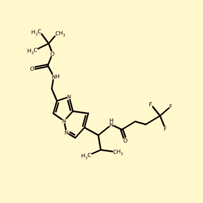 CC(C)C(NC(=O)CCC(F)(F)F)c1cnn2cc(CNC(=O)OC(C)(C)C)nc2c1